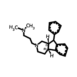 CN(C)CCCN1CC[C@H]2c3ccccc3C(c3ccccc3)[C@H]2C1